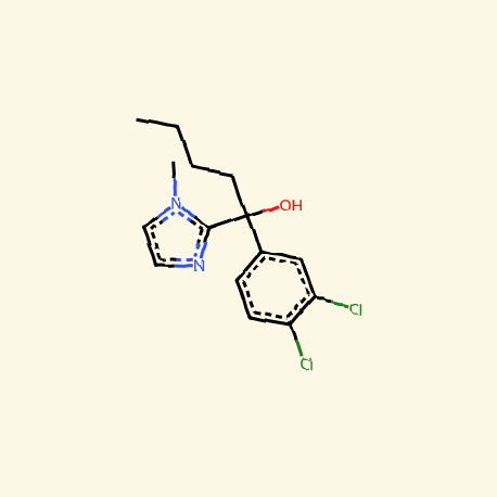 CCCCC(O)(c1ccc(Cl)c(Cl)c1)c1nccn1C